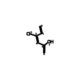 C=C/C(Cl)=C\C(=C)O